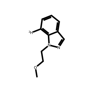 [2H]c1cccc2cnn(CCOC)c12